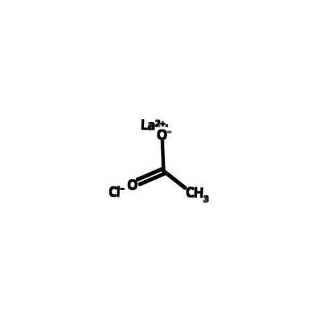 CC(=O)[O-].[Cl-].[La+2]